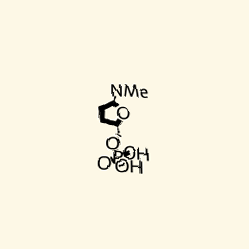 CN[C@H]1CC[C@@H](COP(=O)(O)O)O1